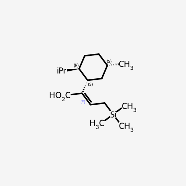 CC(C)[C@H]1CC[C@H](C)C[C@@H]1/C(=C\C[Si](C)(C)C)C(=O)O